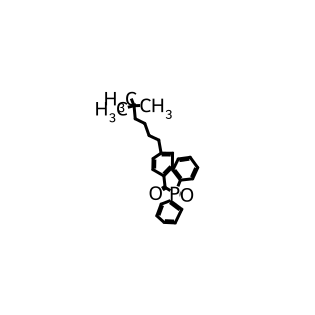 CC(C)(C)CCCCc1ccc(C(=O)P(=O)(c2ccccc2)c2ccccc2)cc1